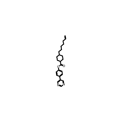 C=CCCCCCC1CCC(C(=O)Oc2ccc(-c3cncnc3)cc2)CC1